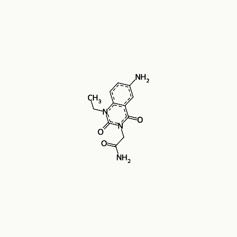 CCn1c(=O)n(CC(N)=O)c(=O)c2cc(N)ccc21